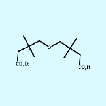 CCOC(=O)CC(C)(C)COCC(C)(C)CC(=O)O